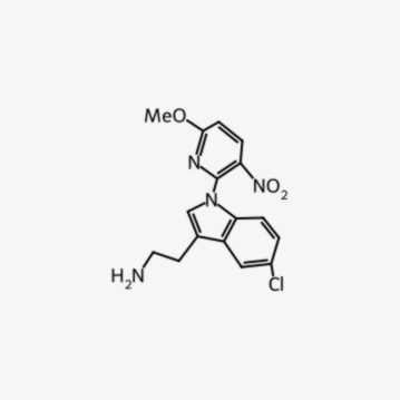 COc1ccc([N+](=O)[O-])c(-n2cc(CCN)c3cc(Cl)ccc32)n1